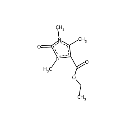 CCOC(=O)c1c(C)n(C)c(=O)n1C